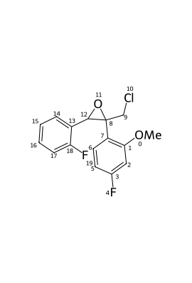 COc1cc(F)ccc1C1(CCl)OC1c1ccccc1F